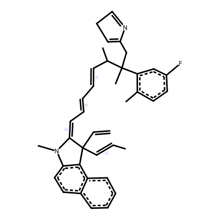 C=CC1(/C=C/C)\C(=C/C=C/C=C/C(C)C(C)(CC2=CCC=N2)c2cc(F)ccc2C)N(C)c2ccc3ccccc3c21